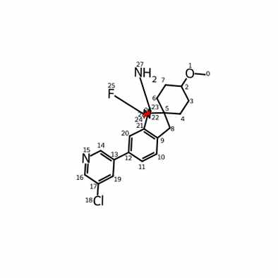 COC1CCC2(CC1)Cc1ccc(-c3cncc(Cl)c3)cc1C21C=C(F)C(N)=N1